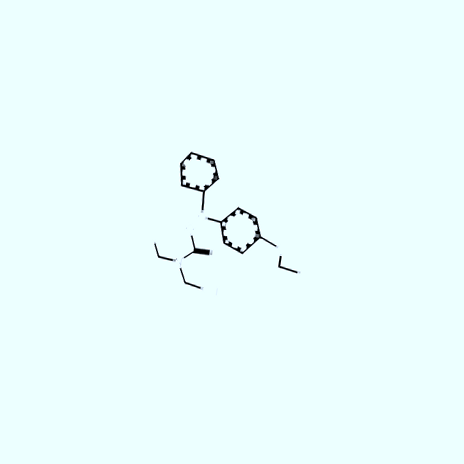 CCN(CC)C(=O)O.CCOc1ccc(Oc2ccccc2)cc1